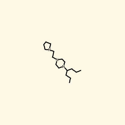 CCCC(CCC)N1CCN(CCN2CCCC2)CC1